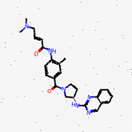 Cc1cc(C(=O)N2CC[C@H](Nc3ncc4ccccc4n3)C2)ccc1NC(=O)/C=C/CN(C)C